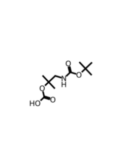 CC(C)(C)OC(=O)NCC(C)(C)OC(=O)O